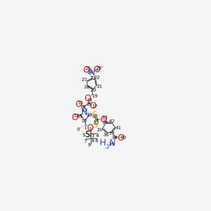 C[C@@H](O[Si](C)(C)C(C)(C)C)[C@H]1C(=O)N(C(=O)C(=O)OCc2ccc([N+](=O)[O-])cc2)[C@@H]1SC(=S)Oc1ccc(C(N)=O)cc1